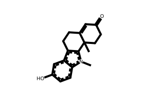 Cn1c2c(c3cc(O)ccc31)CCC1=CC(=O)CCC12C